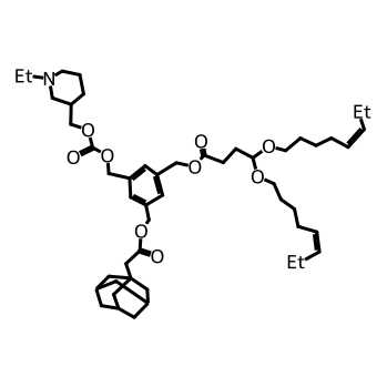 CC/C=C\CCCCOC(CCC(=O)OCc1cc(COC(=O)CC23CC4CC(CC(C4)C2)C3)cc(COC(=O)OCC2CCCN(CC)C2)c1)OCCCC/C=C\CC